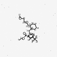 CCOC(=O)c1c(C)c(C(C)(F)F)nn1C[C@@H]1CCCC[C@@H]1COCCOC